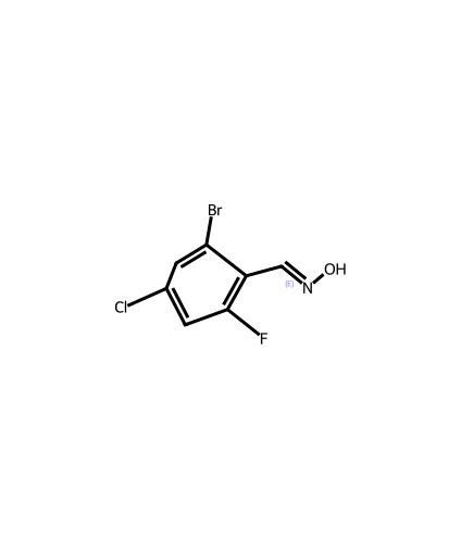 O/N=C/c1c(F)cc(Cl)cc1Br